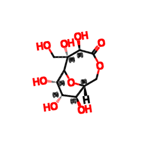 O=C1OC[C@H]2OC([C@@H](O)[C@@H](O)[C@@H]2O)[C@@](O)(CO)[C@H]1O